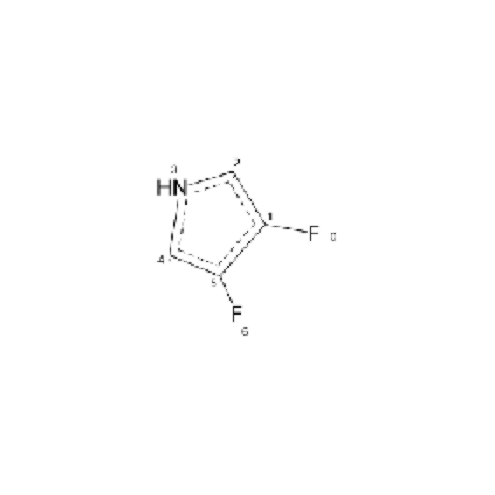 Fc1[c][nH][c]c1F